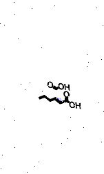 CCC/C=C/C(=O)O.O=CO